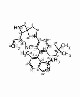 C=CC(=O)C1NCC12CCN(c1nc3c(c(-c4c(C)ccc5cnn(C)c45)c1C#N)CCC(C)(C)C3)C2